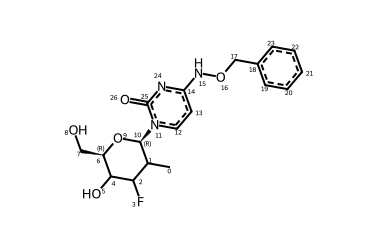 CC1C(F)C(O)[C@@H](CO)O[C@H]1n1ccc(NOCc2ccccc2)nc1=O